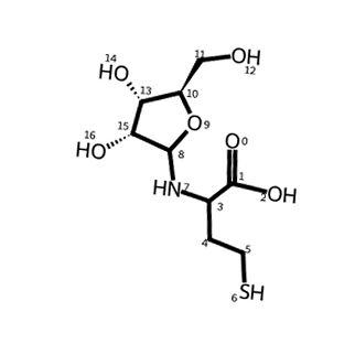 O=C(O)C(CCS)NC1O[C@H](CO)[C@@H](O)[C@H]1O